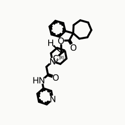 O=C(C[N+]12CCC(CC1)[C@@H](OC(=O)C1(c3ccccc3)CCCCCC1)C2)Nc1cccnc1